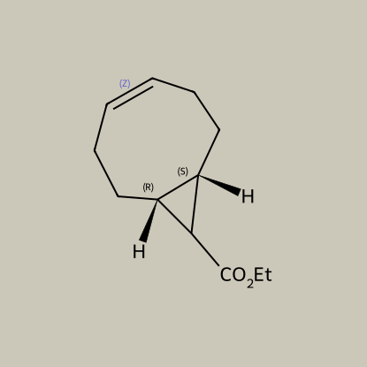 CCOC(=O)C1[C@H]2CC/C=C\CC[C@@H]12